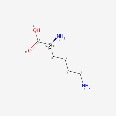 NCCCC[Si@H](N)C(=O)O